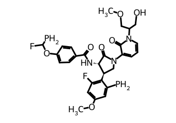 COCC(CO)n1cccc(N2C[C@@H](c3c(F)cc(OC)cc3P)[C@H](NC(=O)c3ccc(OC(F)P)cc3)C2=O)c1=O